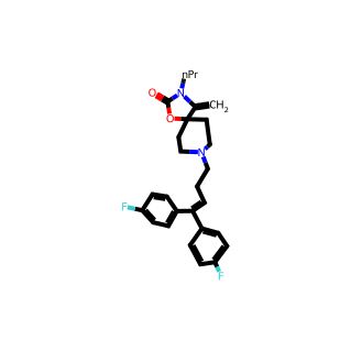 C=C1N(CCC)C(=O)OC12CCN(CCC=C(c1ccc(F)cc1)c1ccc(F)cc1)CC2